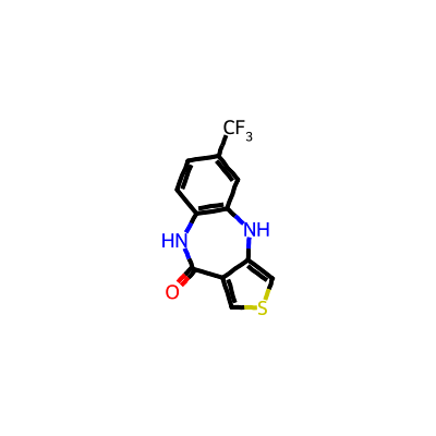 O=C1Nc2ccc(C(F)(F)F)cc2Nc2cscc21